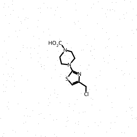 O=C(O)N1CCN(c2nc(CCl)cs2)CC1